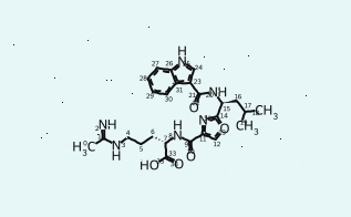 CC(=N)NCCC[C@H](NC(=O)c1coc([C@H](CC(C)C)NC(=O)c2c[nH]c3ccccc23)n1)C(=O)O